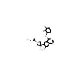 COc1cc2ncnc(Nc3cccc(Cl)c3F)c2cc1C1(C)CN(C(=O)OC(C)(C)C)C1